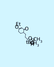 CCOC1=CC(=O)C(CCC(O[SiH](C)C)C(C)(C)C)CC1